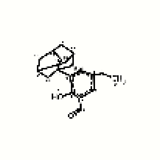 CCc1cc(C=O)c(O)c(C23CC4CC(CC(C4)C2)C3)c1